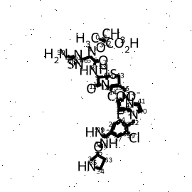 CC(C)(O/N=C(\C(=O)N[C@@H]1C(=O)N2C(C(=O)[O-])=C(C[n+]3ccc4n(Cc5c(F)cc(C(=N)NOC6CCNC6)cc5Cl)ccn43)CS[C@H]12)c1nsc(N)n1)C(=O)O